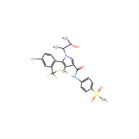 Cc1c(C(=O)Nc2ccc(S(C)(=O)=O)cc2)cn(C(C)C(C)O)c1-c1ccc(Cl)cc1C(F)(F)F